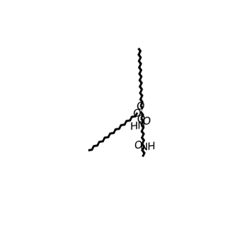 CCCCCCCCCCCCCCCCCCOC[C@H](COC(=O)NCCCCCC(=O)NCCC)OCCCCCCCCCCCCCCCCCC